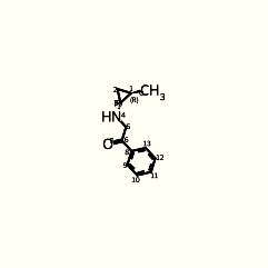 C[C@@H]1C[C@H]1NCC(=O)c1ccccc1